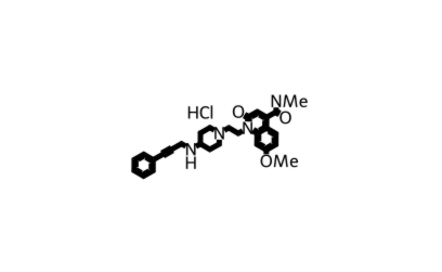 CNC(=O)c1cc(=O)n(CCN2CCC(NCC#Cc3ccccc3)CC2)c2cc(OC)ccc12.Cl